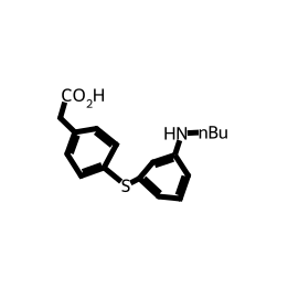 CCCCNc1cccc(Sc2ccc(CC(=O)O)cc2)c1